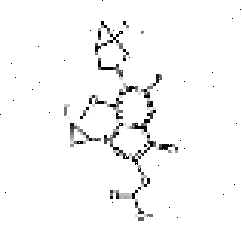 COc1c(N2CC3CC3(N)C2)c(F)cc2c(=O)c(OC(=O)O)cn([C@@H]3C[C@@H]3F)c12